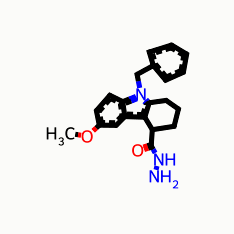 COc1ccc2c(c1)c1c(n2Cc2ccccc2)CCCC1C(=O)NN